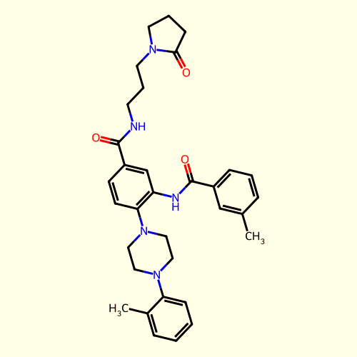 Cc1cccc(C(=O)Nc2cc(C(=O)NCCCN3CCCC3=O)ccc2N2CCN(c3ccccc3C)CC2)c1